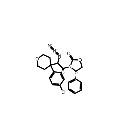 [N-]=[N+]=NC(C(=O)N1C(=O)OC[C@@H]1c1ccccc1)C1(c2ccc(Cl)cc2)CCOCC1